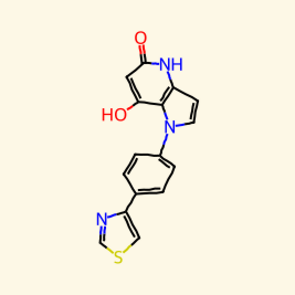 O=c1cc(O)c2c(ccn2-c2ccc(-c3cscn3)cc2)[nH]1